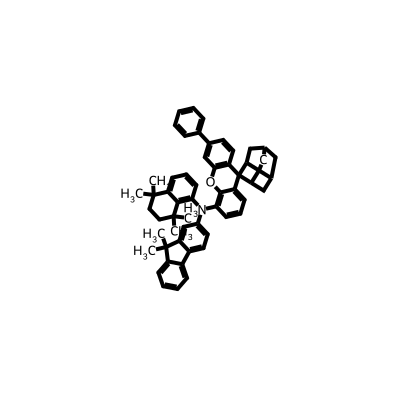 CC1(C)CCC(C)(C)c2c(N(c3ccc4c(c3)C(C)(C)c3ccccc3-4)c3cccc4c3Oc3cc(-c5ccccc5)ccc3C43C4CC5CC6CC3C64C5)cccc21